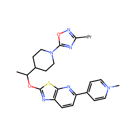 CC(C)c1noc(N2CCC(C(C)Oc3nc4ccc(-c5cc[n+](C)cc5)nc4s3)CC2)n1